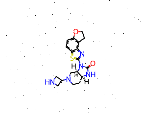 O=C1N[C@H]2CCN(C3CNC3)C[C@H]2N1c1nc2c3c(ccc2s1)OCC3